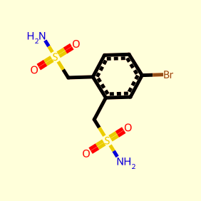 NS(=O)(=O)Cc1ccc(Br)cc1CS(N)(=O)=O